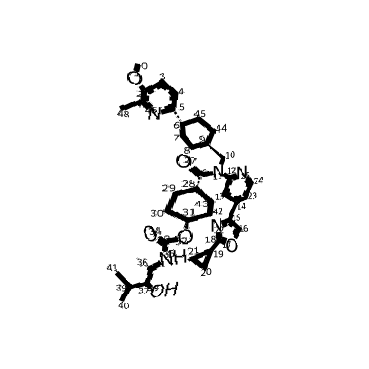 COc1ccc([C@H]2CC[C@H](CN(c3cc(-c4coc(C5CC5)n4)ccn3)C(=O)[C@H]3CC[C@H](OC(=O)NCC(O)C(C)C)CC3)CC2)nc1C